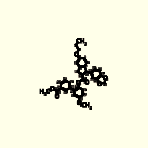 CCCOc1ccc2c(c1)CC(C(=O)Oc1ccc(OC)cc1-c1cccc(C(=O)OC)c1)C2c1ccc2c(c1)OCO2